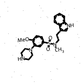 COc1ccc(S(=O)(=O)N(C)CCc2c[nH]c3ccccc23)cc1N1CCNCC1